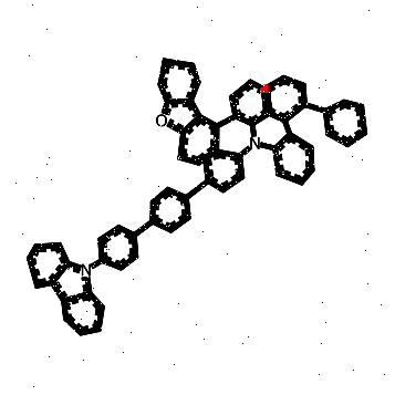 c1ccc(-c2ccccc2-c2ccccc2N(c2ccc(-c3ccc(-c4ccc(-n5c6ccccc6c6ccccc65)cc4)cc3)cc2)c2ccccc2-c2cccc3oc4ccccc4c23)cc1